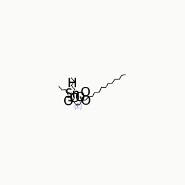 CCCCCCCCCCCC(=O)OC(=O)/C=C\C(=O)[O][SnH]([CH2]CCC)[CH2]CCC